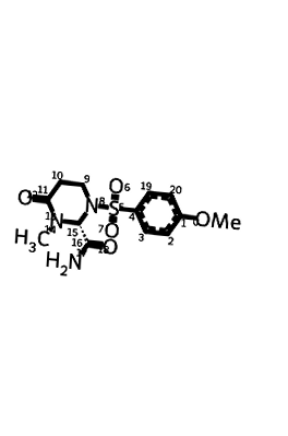 COc1ccc(S(=O)(=O)N2CCC(=O)N(C)[C@H]2C(N)=O)cc1